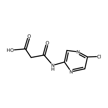 O=C(O)CC(=O)Nc1cnc(Cl)cn1